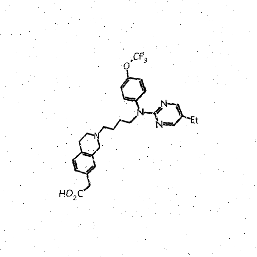 CCc1cnc(N(CCCCN2CCc3ccc(CC(=O)O)cc3C2)c2ccc(OC(F)(F)F)cc2)nc1